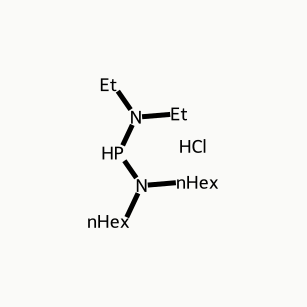 CCCCCCN(CCCCCC)PN(CC)CC.Cl